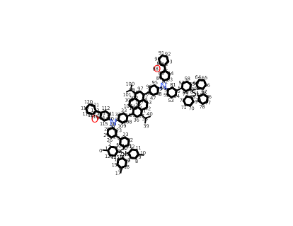 Cc1ccc([Si](c2ccc(C)cc2)(c2ccc(C)cc2)c2cccc(-c3cccc(N(c4ccc(-c5cc(C(C)C)c6ccc7c(-c8ccc(N(c9cccc(-c%10cccc([Si](c%11ccccc%11)(c%11ccccc%11)c%11ccccc%11)c%10)c9)c9ccc%10c(c9)oc9ccccc9%10)cc8)cc(C(C)C)c8ccc5c6c78)cc4)c4ccc5c(c4)oc4ccccc45)c3)c2)cc1